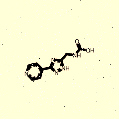 O=C(O)NCc1nc(-c2ccncc2)n[nH]1